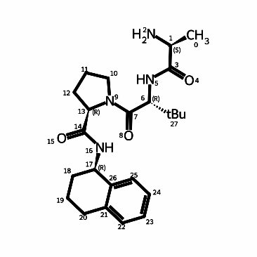 C[C@H](N)C(=O)N[C@@H](C(=O)N1CCC[C@@H]1C(=O)N[C@@H]1CCCc2ccccc21)C(C)(C)C